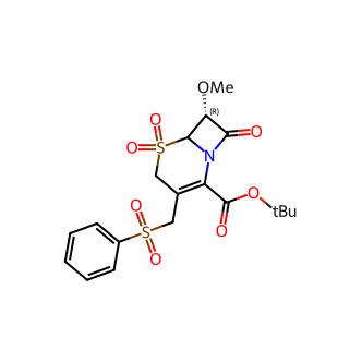 CO[C@@H]1C(=O)N2C(C(=O)OC(C)(C)C)=C(CS(=O)(=O)c3ccccc3)CS(=O)(=O)C12